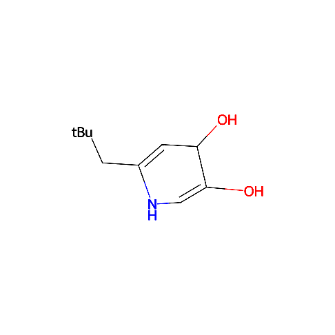 CC(C)(C)CC1=CC(O)C(O)=CN1